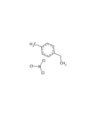 [CH2]Cc1ccc(C)cc1.[Cl][Al]([Cl])[Cl]